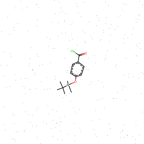 CC(C)(C)[Si](C)(C)Oc1ccc(C(=O)Cl)cc1